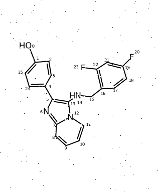 Oc1ccc(-c2nc3ccccn3c2NCc2ccc(F)cc2F)cc1